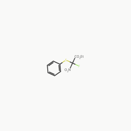 CCOC(=O)C(F)(Sc1ccccc1)[N+](=O)[O-]